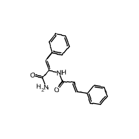 NC(=O)/C(=C/c1ccccc1)NC(=O)/C=C/c1ccccc1